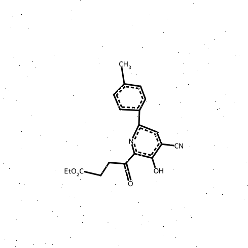 CCOC(=O)CCC(=O)c1nc(-c2ccc(C)cc2)cc(C#N)c1O